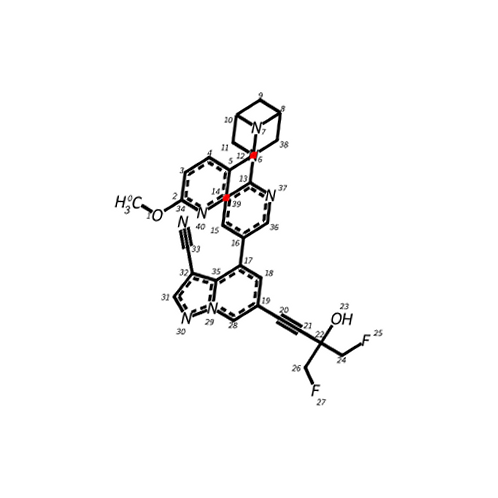 COc1ccc(CN2C3CC2CN(c2ccc(-c4cc(C#CC(O)(CF)CF)cn5ncc(C#N)c45)cn2)C3)cn1